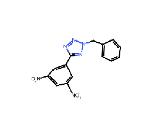 O=[N+]([O-])c1cc(-c2nnn(Cc3ccccc3)n2)cc([N+](=O)[O-])c1